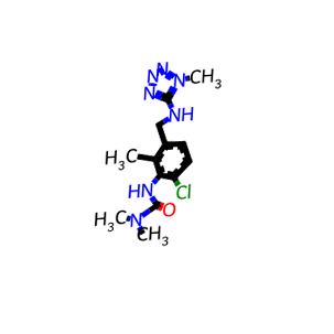 Cc1c(CNc2nnnn2C)ccc(Cl)c1NC(=O)N(C)C